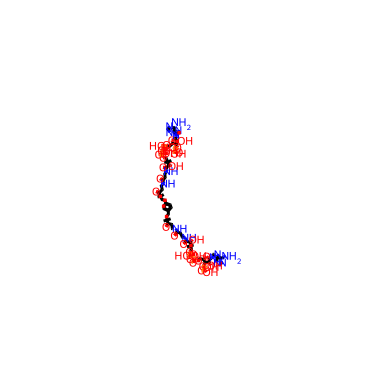 CC(C)(CCc1ccc(CCC(C)(C)C(=O)CCNC(=O)CCNC(=O)C(O)C(C)(C)COP(=O)(O)OP(=O)(O)OCC2OC(n3cnc4c(N)ncnc43)C(O)C2OP(=O)(O)O)cc1)C(=O)CCNC(=O)CCNC(=O)C(O)C(C)(C)COP(=O)(O)OP(=O)(O)OCC1OC(n2cnc3c(N)ncnc32)C(O)C1OP(=O)(O)O